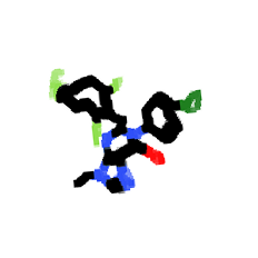 CCn1cnc2c(=O)n(-c3ccc(Cl)cc3)c(Cc3c(F)cc(F)cc3F)nc21